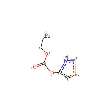 CC(C)(C)COC(=O)Oc1cscn1